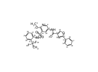 COc1ncc(NC(=O)c2coc(-c3ccccc3)n2)cc1S(=O)(=O)Nc1ccccc1C(C)(F)F